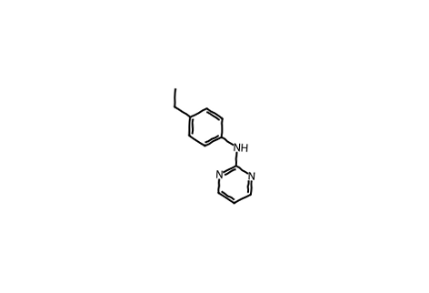 CCc1ccc(Nc2ncccn2)cc1